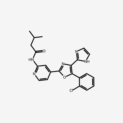 CC(C)CC(=O)Nc1cc(-c2nc(-c3ncc[nH]3)c(-c3ccccc3Cl)o2)ccn1